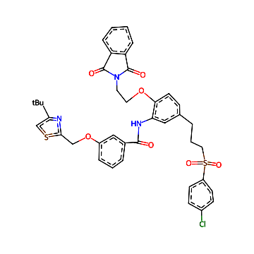 CC(C)(C)c1csc(COc2cccc(C(=O)Nc3cc(CCCS(=O)(=O)c4ccc(Cl)cc4)ccc3OCCN3C(=O)c4ccccc4C3=O)c2)n1